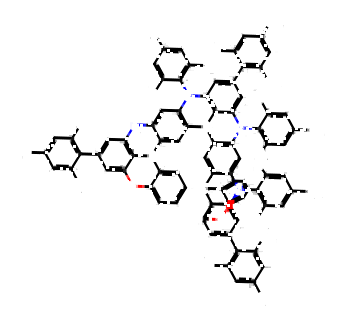 Cc1cc(C)c(-c2cc3c4c(c2)Oc2ccccc2B4c2cc4c(cc2N3)N(c2c(C)cc(C)cc2C)c2cc(-c3c(C)cc(C)cc3C)cc3c2B4c2cc4c(cc2N3c2c(C)cc(C)cc2C)N(c2c(C)cc(C)cc2C)c2cc(-c3c(C)cc(C)cc3C)cc3c2B4c2ccccc2O3)c(C)c1